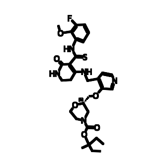 CCC(C)(CC)OC(=O)N1CCO[C@H](COc2cnccc2CNC2=C(C(=S)Nc3cccc(F)c3OC)C(=O)NCC2)C1